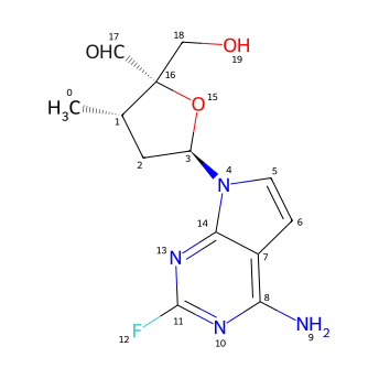 C[C@H]1C[C@H](n2ccc3c(N)nc(F)nc32)O[C@]1(C=O)CO